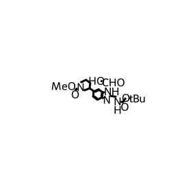 COC(=O)N1CCCC(c2ccc3nc(CNC(=O)OC(C)(C)C)[nH]c3c2)C1.O=CO